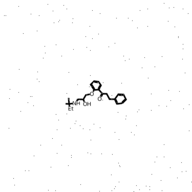 CCC(C)(C)NCC(O)COc1ccccc1C(=O)CCc1ccccc1